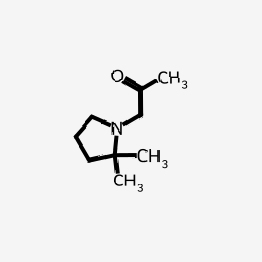 CC(=O)CN1CCCC1(C)C